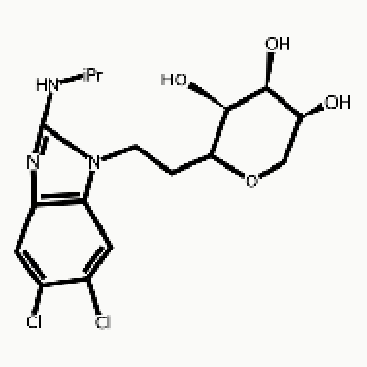 CC(C)Nc1nc2cc(Cl)c(Cl)cc2n1CCC1OC[C@H](O)[C@H](O)[C@@H]1O